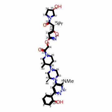 CNc1nnc(-c2ccccc2O)cc1N1CCN(C2CCN(C(=O)COc3cc([C@H](C(=O)N4CC[C@@H](O)C4)C(C)C)on3)CC2C)C[C@@H]1C